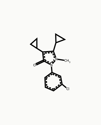 Cn1c(C2CC2)c(C2CC2)c(=O)n1-c1cccc(Cl)c1